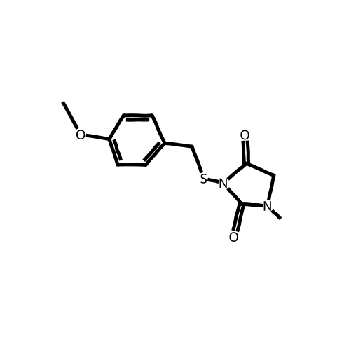 COc1ccc(CSN2C(=O)CN(C)C2=O)cc1